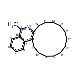 Cc1nc2c(c3ccccc13)CCCCCCCCCCCC2